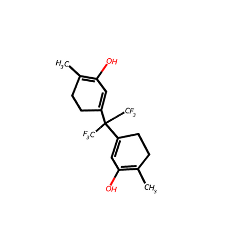 CC1=C(O)C=C(C(C2=CC(O)=C(C)CC2)(C(F)(F)F)C(F)(F)F)CC1